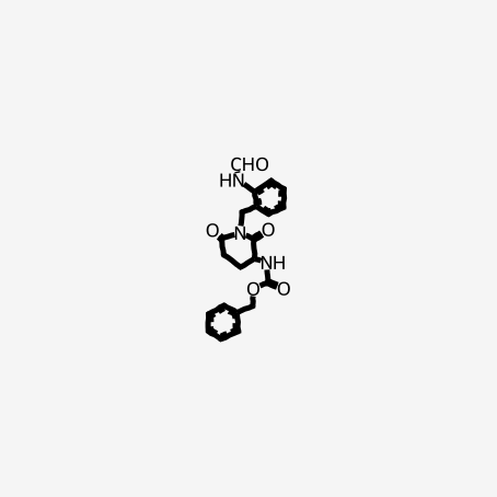 O=CNc1ccccc1CN1C(=O)CCC(NC(=O)OCc2ccccc2)C1=O